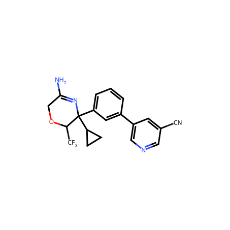 N#Cc1cncc(-c2cccc(C3(C4CC4)N=C(N)COC3C(F)(F)F)c2)c1